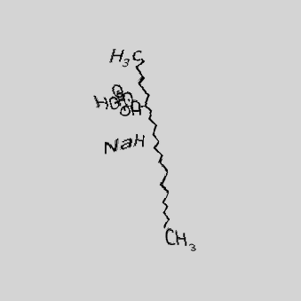 CCCCCCCCCCCCCCCCCC(CCCCCC)OOP(=O)(O)O.[NaH]